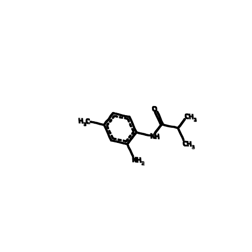 Cc1ccc(NC(=O)C(C)C)c(N)c1